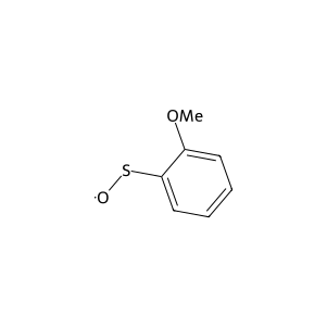 COc1ccccc1S[O]